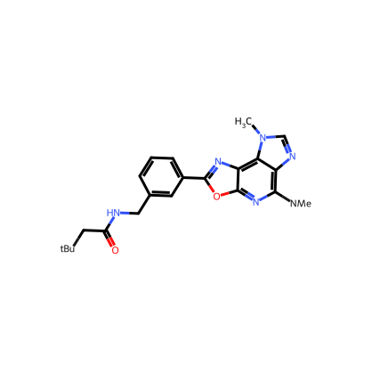 CNc1nc2oc(-c3cccc(CNC(=O)CC(C)(C)C)c3)nc2c2c1ncn2C